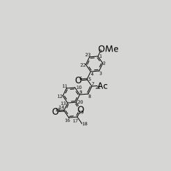 COc1ccc(C(=O)C(=Cc2cccc3c(=O)cc(C)oc23)C(C)=O)cc1